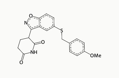 COc1ccc(CSc2ccc3onc(C4CCC(=O)NC4=O)c3c2)cc1